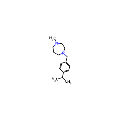 CC(C)c1ccc(CN2CCCN(C)CC2)cc1